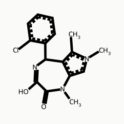 Cc1c2c(cn1C)N(C)C(=O)C(O)=NC2c1ccccc1Cl